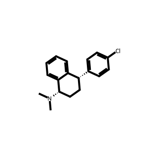 CN(C)[C@H]1CC[C@@H](c2ccc(Cl)cc2)c2ccccc21